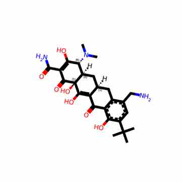 CN(C)[C@H]1C(O)=C(C(N)=O)C(=O)[C@@]2(O)C(O)=C3C(=O)c4c(O)c(C(C)(C)C)cc(CN)c4C[C@@H]3C[C@H]12